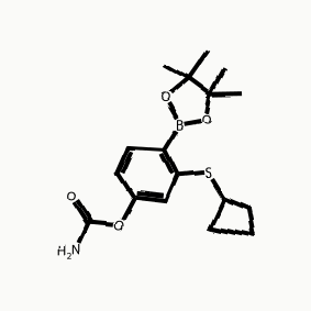 CC1(C)OB(c2ccc(OC(N)=O)cc2SC2CCC2)OC1(C)C